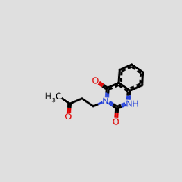 CC(=O)CCn1c(=O)[nH]c2ccccc2c1=O